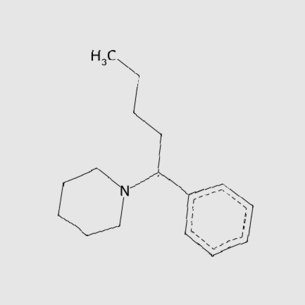 CCCC[C](c1ccccc1)N1CCCCC1